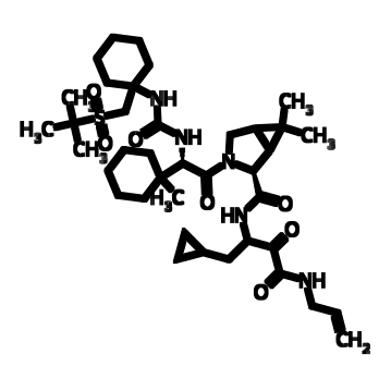 C=CCNC(=O)C(=O)C(CC1CC1)NC(=O)[C@@H]1C2C(CN1C(=O)[C@@H](NC(=O)NC1(CS(=O)(=O)C(C)(C)C)CCCCC1)C1(C)CCCCC1)C2(C)C